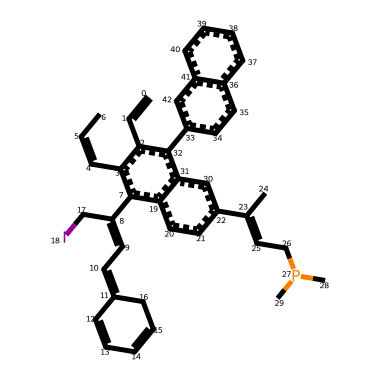 C=Cc1c(/C=C\C)c(/C(=C/C=C2/C=CC=CC2)CI)c2ccc(/C(C)=C/CP(C)C)cc2c1-c1ccc2ccccc2c1